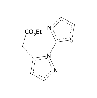 CCOC(=O)Cc1ccnn1-c1nccs1